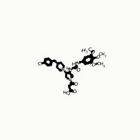 COc1cc(NC(=O)NC2CN(C(=O)CC(=O)O)CC2N2CCC(Cc3ccc(Cl)cc3)CC2)cc(OC)c1OC